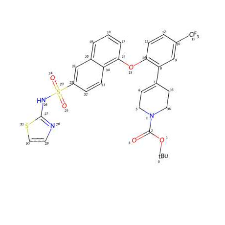 CC(C)(C)OC(=O)N1CC=C(c2cc(C(F)(F)F)ccc2Oc2cccc3cc(S(=O)(=O)Nc4nccs4)ccc23)CC1